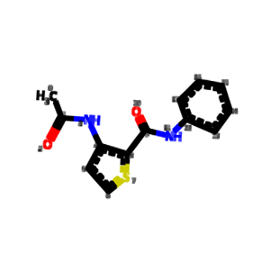 CC(=O)Nc1ccsc1C(=O)Nc1ccccc1